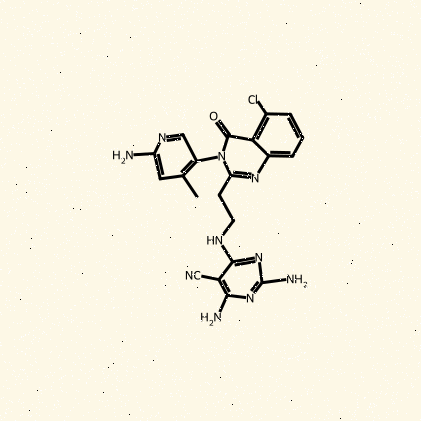 Cc1cc(N)ncc1-n1c(CCNc2nc(N)nc(N)c2C#N)nc2cccc(Cl)c2c1=O